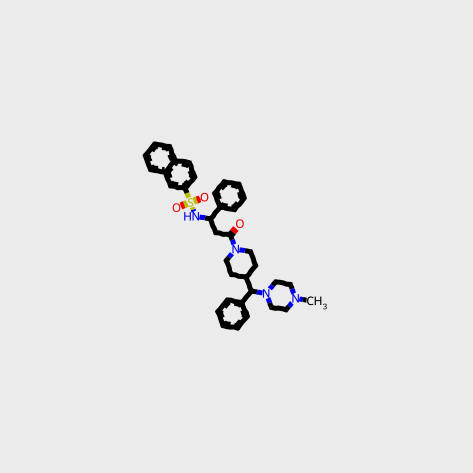 CN1CCN(C(c2ccccc2)C2CCN(C(=O)CC(NS(=O)(=O)c3ccc4ccccc4c3)c3ccccc3)CC2)CC1